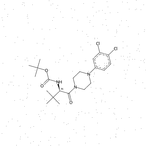 CC(C)(C)OC(=O)N[C@@H](C(=O)N1CCN(c2ccc(Cl)c(Cl)c2)CC1)C(C)(C)C